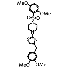 COc1ccc(OC)c(S(=O)(=O)N2CCN(c3nc(Cc4ccc(OC)c(OC)c4)cs3)CC2)c1